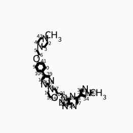 CN1CCN(CCOc2ccc(-c3cnc(N4CCO[C@H](Cn5nnc6ncc(-c7cnn(C)c7)nc65)C4)nc3)cc2)CC1